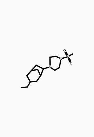 CCC1CC2CC(C1)C(N1CCN(S(C)(=O)=O)CC1)C2